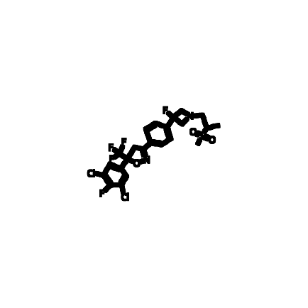 CC(CN1CC(F)(c2ccc(C3=NOC(c4cc(Cl)c(F)c(Cl)c4)(C(F)(F)F)C3)cc2)C1)S(C)(=O)=O